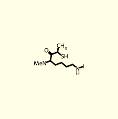 CNC(CCCCNI)C(=O)C(C)S